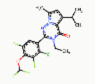 CCn1c(-c2cc(F)c(OC(F)F)c(F)c2Cl)nn2c(C)cc(C(C)C)c2c1=O